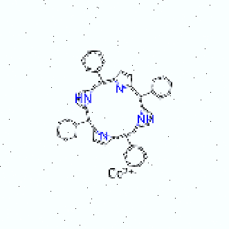 C1=Cc2nc1c(-c1ccccc1)c1ccc([nH]1)c(-c1ccccc1)c1nc(c(-c3ccccc3)c3ccc([nH]3)c2-c2ccccc2)C=C1.[Co+2]